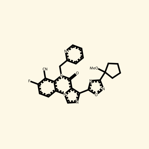 COC1(c2noc(-c3ncn4c3c(=O)n(Cc3ccccn3)c3c(C#N)c(F)ccc34)n2)CCCC1